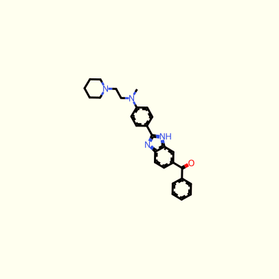 CN(CCN1CCCCC1)c1ccc(-c2nc3ccc(C(=O)c4ccccc4)cc3[nH]2)cc1